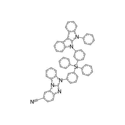 N#Cc1ccc2nc3n(-c4cccc([Si](c5ccccc5)(c5ccccc5)c5cccc(-n6c7ccccc7c7c8ccccc8n(-c8ccccc8)c76)c5)c4)c4ccccc4n3c2c1